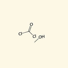 CO.O=C(Cl)Cl